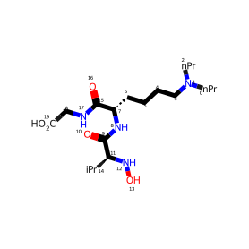 CCCN(CCC)CCCC[C@H](NC(=O)[C@@H](NO)C(C)C)C(=O)NCC(=O)O